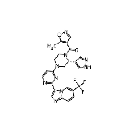 Cc1oncc1C(=O)N1CCN(c2ccnc(-c3cnc4ccc(C(F)(F)F)cn34)n2)C[C@H]1c1cn[nH]c1